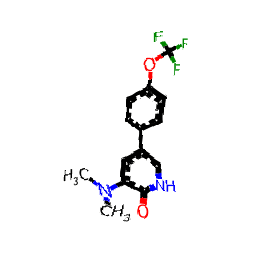 CN(C)c1cc(-c2ccc(OC(F)(F)F)cc2)c[nH]c1=O